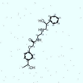 CC(O)c1ccc(OCC(=O)NCCNCC(O)c2ccccc2)cc1